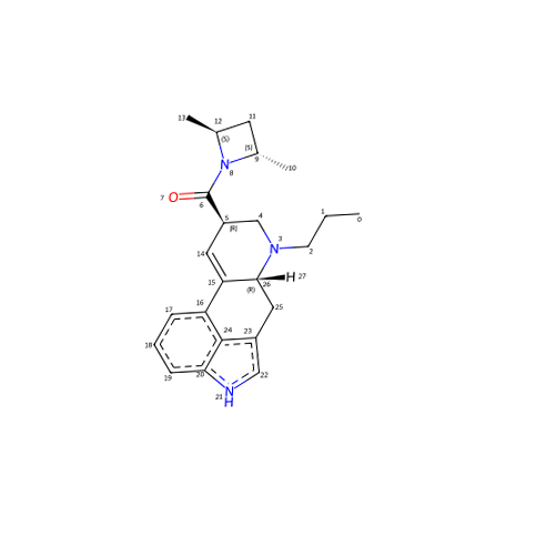 CCCN1C[C@H](C(=O)N2[C@@H](C)C[C@@H]2C)C=C2c3cccc4[nH]cc(c34)C[C@H]21